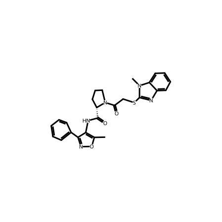 Cc1onc(-c2ccccc2)c1NC(=O)[C@@H]1CCCN1C(=O)CSc1nc2ccccc2n1C